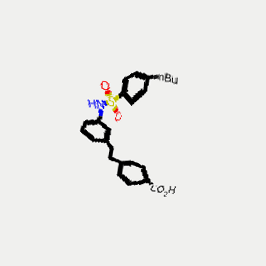 CCCCc1ccc(S(=O)(=O)Nc2cccc(CCc3ccc(C(=O)O)cc3)c2)cc1